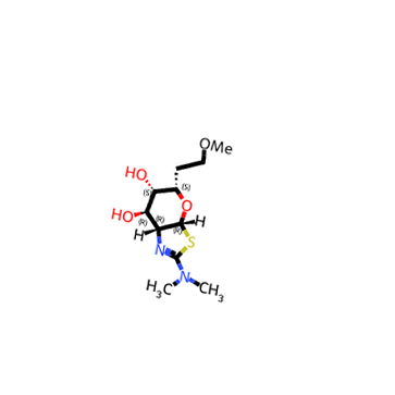 COCC[C@@H]1O[C@@H]2SC(N(C)C)=N[C@@H]2[C@@H](O)[C@@H]1O